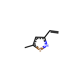 C=Cc1cc(C)sn1